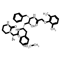 CC(=O)O.Cc1cccc(C)c1OCC(=O)N[C@@H](Cc1ccccc1)[C@@H](O)C[C@H](Cc1ccccc1)NC(=O)[C@H](C(C)C)N1CCCNC1=O